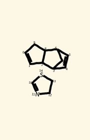 C1=CC2C3C=CC(C3)C2C1.[C]1=NCCS1